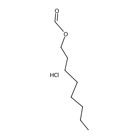 CCCCCCCCOC=O.Cl